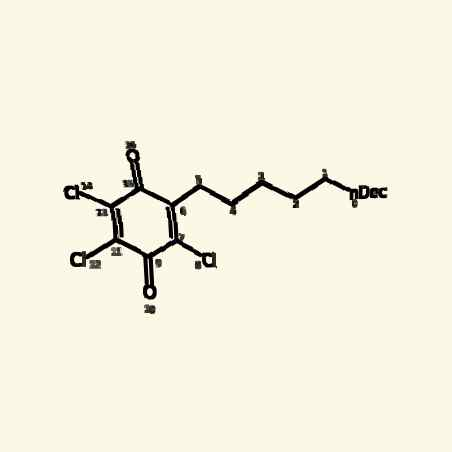 CCCCCCCCCCCCCCCC1=C(Cl)C(=O)C(Cl)=C(Cl)C1=O